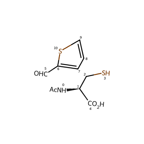 CC(=O)N[C@@H](CS)C(=O)O.O=Cc1cccs1